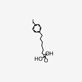 O=P(O)(O)CCCCCCc1ccc(I)cc1